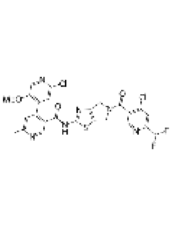 COc1cnc(Cl)cc1-c1cc(C)ncc1C(=O)Nc1nc2c(s1)CN(C(=O)c1cnc(C(F)F)cc1Cl)C2